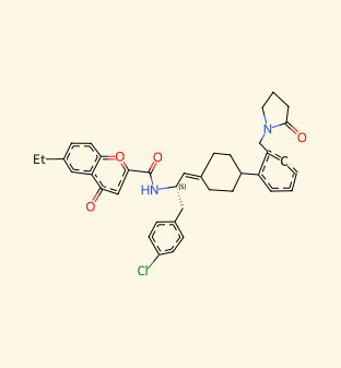 CCc1ccc2oc(C(=O)N[C@H](C=C3CCC(c4ccccc4CN4CCCC4=O)CC3)Cc3ccc(Cl)cc3)cc(=O)c2c1